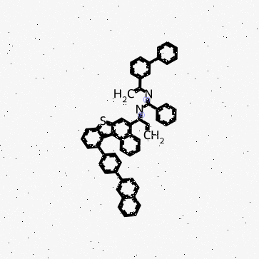 C=C/C(=N\C(=N/C(=C)c1cccc(-c2ccccc2)c1)c1ccccc1)c1cc2sc3cccc(-c4ccc(-c5ccc6ccccc6c5)cc4)c3c2c2ccccc12